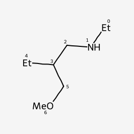 CCNCC(CC)COC